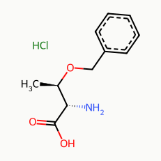 C[C@@H](OCc1ccccc1)[C@H](N)C(=O)O.Cl